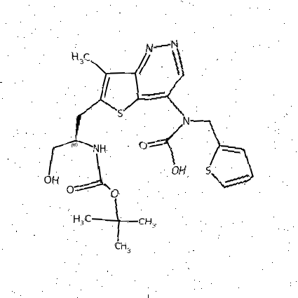 Cc1c(C[C@H](CO)NC(=O)OC(C)(C)C)sc2c(N(Cc3cccs3)C(=O)O)cnnc12